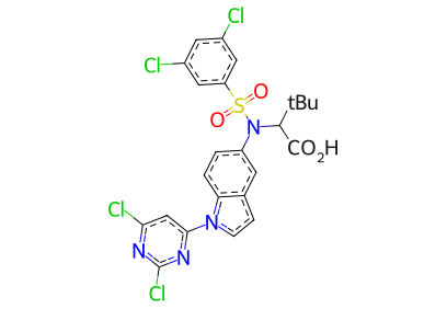 CC(C)(C)C(C(=O)O)N(c1ccc2c(ccn2-c2cc(Cl)nc(Cl)n2)c1)S(=O)(=O)c1cc(Cl)cc(Cl)c1